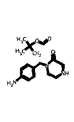 CC(C)(C)OC=O.Nc1ccc(CN2CCNCC2=O)cc1